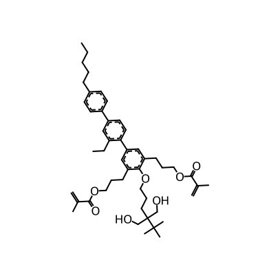 C=C(C)C(=O)OCCCc1cc(-c2ccc(-c3ccc(CCCCC)cc3)cc2CC)cc(CCCOC(=O)C(=C)C)c1OCCCC(CO)(CO)C(C)(C)C